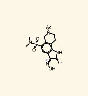 CC(=O)N1CCc2c(c(S(=O)(=O)N(C)C)cc3c2NC(=O)/C3=N\O)C1